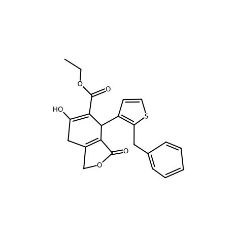 CCOC(=O)C1=C(O)CC2=C(C(=O)OC2)C1c1ccsc1Cc1ccccc1